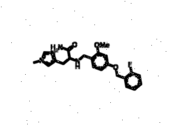 COc1cc(OCc2ccccc2F)ccc1CNC(Cc1cn(C)cn1)C(N)=O